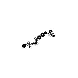 C[C@@H](CCCNC(=O)OCc1ccccc1)C(=O)OCC(=O)C12CCC(c3ccc(C(=O)COC(=O)[C@@H]4CCCN4C(=O)OC(C)(C)C)cc3)(CC1)CC2